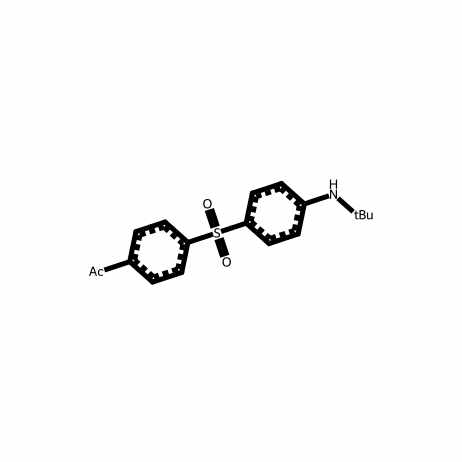 CC(=O)c1ccc(S(=O)(=O)c2ccc(NC(C)(C)C)cc2)cc1